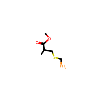 COC(=O)C(C)CSCP